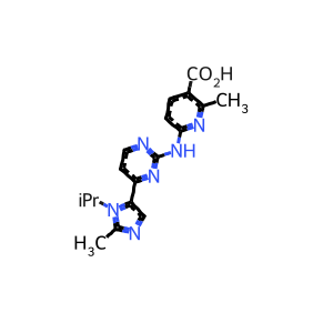 Cc1nc(Nc2nccc(-c3cnc(C)n3C(C)C)n2)ccc1C(=O)O